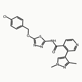 Cc1nn(C)cc1-c1cnccc1C(=O)Nc1nnc(OCc2ccc(Cl)cc2)s1